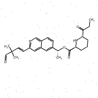 CCC(=O)N1CCC[C@@H](C(=O)O[C@H](C)c2ccc3cnc(/C=C/C(C)(C)C=O)cc3c2)N1